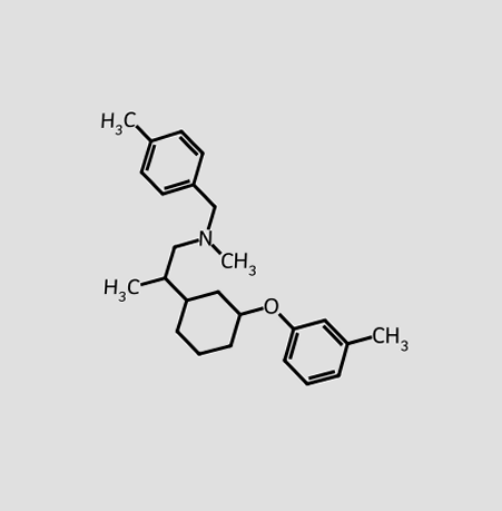 Cc1ccc(CN(C)CC(C)C2CCCC(Oc3cccc(C)c3)C2)cc1